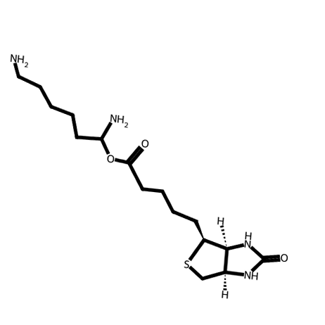 NCCCCCC(N)OC(=O)CCCC[C@@H]1SC[C@@H]2NC(=O)N[C@@H]21